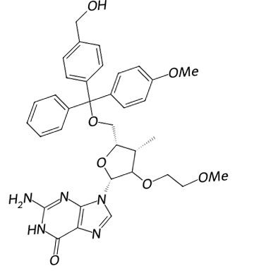 COCCOC1[C@@H](C)[C@@H](COC(c2ccccc2)(c2ccc(CO)cc2)c2ccc(OC)cc2)O[C@H]1n1cnc2c(=O)[nH]c(N)nc21